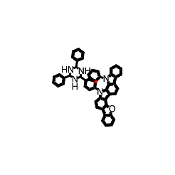 c1ccc(C2NC(c3ccccc3)NC(c3ccc(-n4c5ccc6c7ccccc7oc6c5c5ccc6c7ccccc7n(-c7ccccc7)c6c54)cc3)N2)cc1